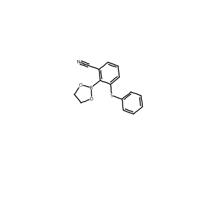 N#Cc1cccc(Sc2ccccc2)c1B1OCCO1